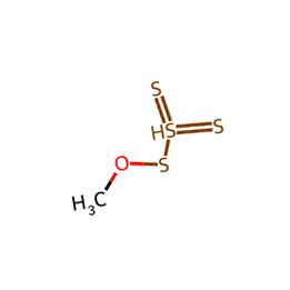 COS[SH](=S)=S